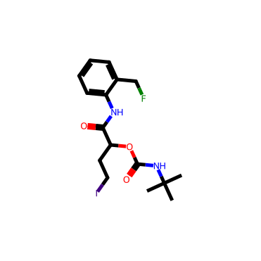 CC(C)(C)NC(=O)OC(CCI)C(=O)Nc1ccccc1CF